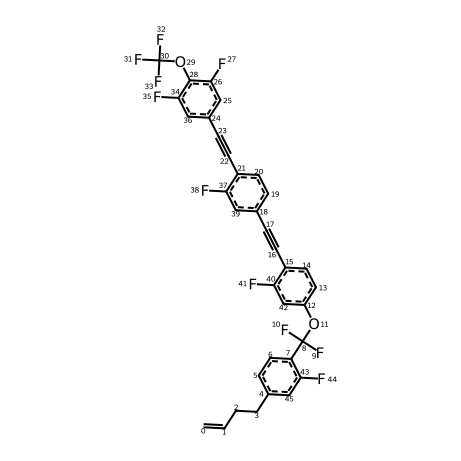 C=CCCc1ccc(C(F)(F)Oc2ccc(C#Cc3ccc(C#Cc4cc(F)c(OC(F)(F)F)c(F)c4)c(F)c3)c(F)c2)c(F)c1